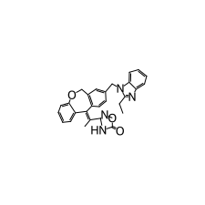 CCc1nc2ccccc2n1Cc1ccc2c(c1)COc1ccccc1/C2=C(\C)c1noc(=O)[nH]1